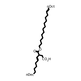 CCCCCCCCC=CCCCCCCCCCCCCOC(=O)C(C=CCCCCCCCCCCCCCC)CC(=O)O